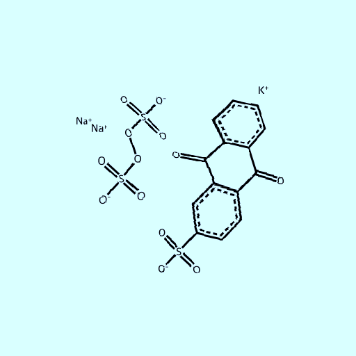 O=C1c2ccccc2C(=O)c2cc(S(=O)(=O)[O-])ccc21.O=S(=O)([O-])OOS(=O)(=O)[O-].[K+].[Na+].[Na+]